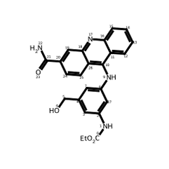 CCOC(=O)Nc1cc(CO)cc(Nc2c3ccccc3nc3cc(C(N)=O)ccc23)c1